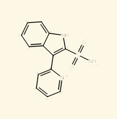 NS(=O)(=O)c1[nH]c2ccccc2c1-c1ccccn1